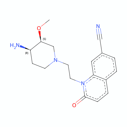 CO[C@H]1CN(CCn2c(=O)ccc3ccc(C#N)cc32)CC[C@H]1N